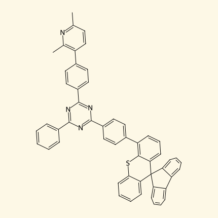 Cc1ccc(-c2ccc(-c3nc(-c4ccccc4)nc(-c4ccc(-c5cccc6c5Sc5ccccc5C65c6ccccc6-c6ccccc65)cc4)n3)cc2)c(C)n1